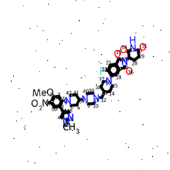 COc1cc(N2CCC(N3CCN(CC4CCN(c5cc6c(cc5F)C(=O)N(C5CCC(=O)NC5=O)C6=O)CC4)CC3)CC2)c(-c2cnn(C)c2)cc1[N+](=O)[O-]